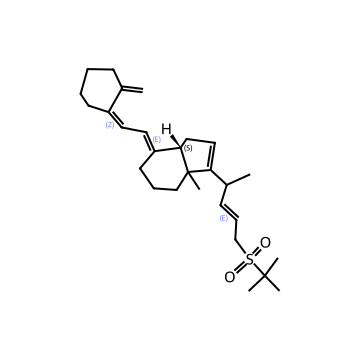 C=C1CCCC/C1=C/C=C1\CCCC2(C)C(C(C)/C=C/CS(=O)(=O)C(C)(C)C)=CC[C@@H]12